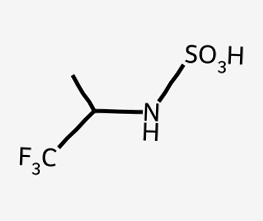 CC(NS(=O)(=O)O)C(F)(F)F